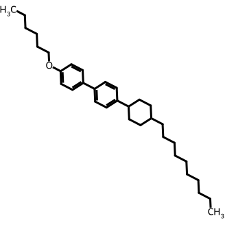 CCCCCCCCCCC1CCC(c2ccc(-c3ccc(OCCCCCC)cc3)cc2)CC1